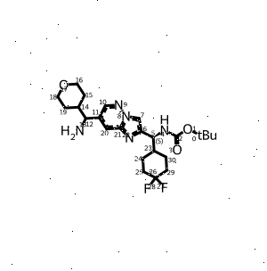 CC(C)(C)OC(=O)N[C@H](c1cn2ncc(C(N)C3CCOCC3)cc2n1)C1CCC(F)(F)CC1